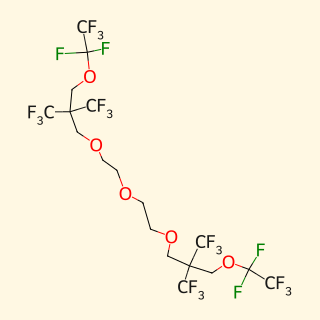 FC(F)(F)C(F)(F)OCC(COCCOCCOCC(COC(F)(F)C(F)(F)F)(C(F)(F)F)C(F)(F)F)(C(F)(F)F)C(F)(F)F